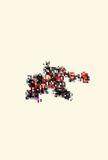 C=C1C[C@H](CCC2OCCO2)O[C@H]1CC[C@H]1CCC(=C)[C@@H](C[C@@H]2O[C@H](C[C@@H](CO[Si](C)(C)C(C)(C)C)O[Si](C)(C)C(C)(C)C)C[C@H]2C(C(=O)C[C@H]2CC[C@@H]3OC(C(/C=C/I)O[Si](C)(C)C(C)(C)C)C(O[Si](C)(C)C(C)(C)C)C(O[Si](C)(C)C(C)(C)C)C3O2)S(=O)(=O)c2ccc(CC)cc2)O1